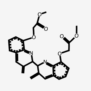 C=C1C=c2cccc(OCC(=O)OC)c2=NC1C1N=c2c(OCC(=O)OC)cccc2=CC1=C